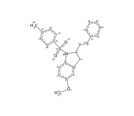 COc1ccc2c(c1)CC(CSc1ccccc1)N2S(=O)(=O)c1ccc(C)cc1